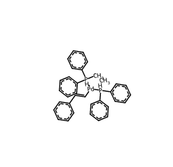 C[PH](c1ccccc1)(c1ccccc1)[Pd]([CH]=Cc1ccccc1)[PH](C)(c1ccccc1)c1ccccc1